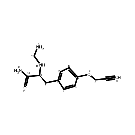 C#CCOc1ccc(C[C@H](NCN)C(N)=O)cc1